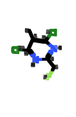 Cc1c(Cl)nc(CF)nc1Cl